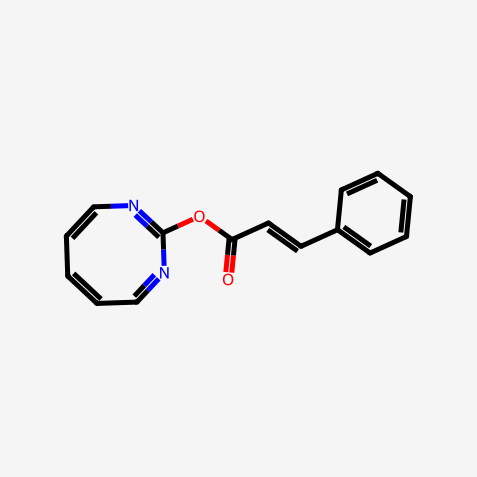 O=C(C=Cc1ccccc1)OC1=NC=CC=CC=N1